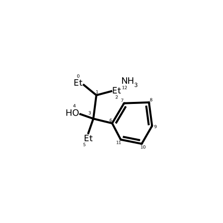 CCC(CC)C(O)(CC)c1ccccc1.N